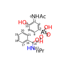 CC(=O)Nc1cc([As](=O)(O)O)ccc1O.CCCNC(=O)c1ccccc1